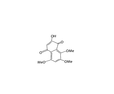 COc1cc(OC)c2c(c1OC)C(=O)C(O)=CC2=O